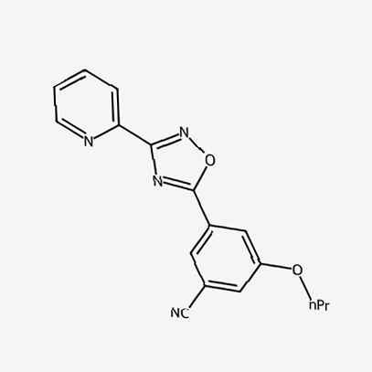 CCCOc1cc(C#N)cc(-c2nc(-c3ccccn3)no2)c1